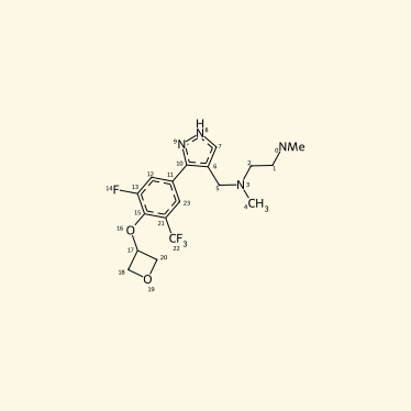 CNCCN(C)Cc1c[nH]nc1-c1cc(F)c(OC2COC2)c(C(F)(F)F)c1